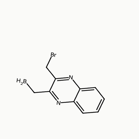 BCc1nc2ccccc2nc1CBr